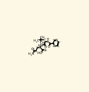 CC(C)(C)C[C@H](NC(=O)c1cnccn1)C(=O)NN(CCC(N)=O)C(=O)O